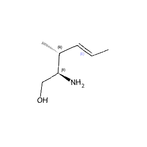 C/C=C/[C@@H](C)[C@@H](N)CO